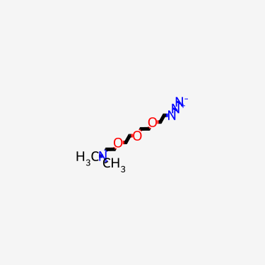 CN(C)CCOCCOCCOCCN=[N+]=[N-]